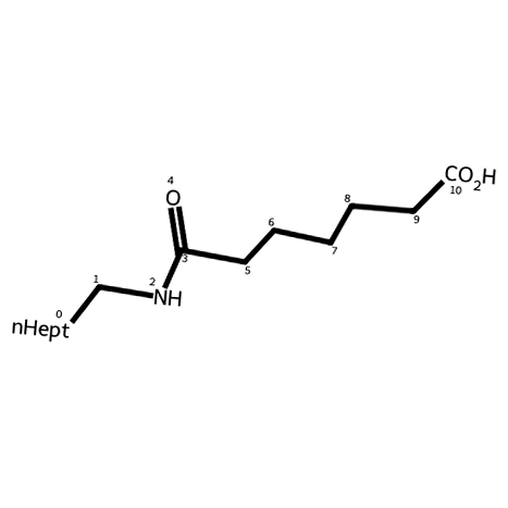 CCCCCCCCNC(=O)CCCCCC(=O)O